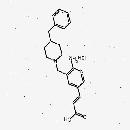 Cl.Nc1ncc(C=CC(=O)O)cc1CN1CCC(Cc2ccccc2)CC1